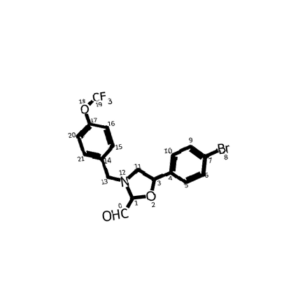 O=CC1OC(c2ccc(Br)cc2)CN1Cc1ccc(OC(F)(F)F)cc1